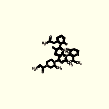 C=CC(=O)N1CCN(c2nc(=O)n(-c3c(C)ccnc3C(C)C)c3nc(-c4c(F)cccc4CC(N)=O)c(F)cc23)C(C)C1